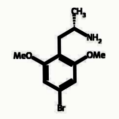 COc1cc(Br)cc(OC)c1C[C@H](C)N